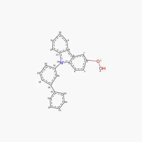 OOc1ccc2c(c1)c1ccccc1n2-c1cccc(-c2ccccc2)c1